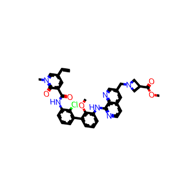 C=Cc1cc(C(=O)Nc2cccc(-c3cccc(Nc4nccc5cc(CN6CC(C(=O)OC)C6)cnc45)c3OC)c2Cl)c(=O)n(C)c1